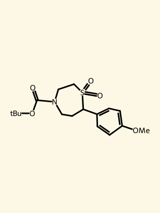 COc1ccc(C2CCN(C(=O)OC(C)(C)C)CCS2(=O)=O)cc1